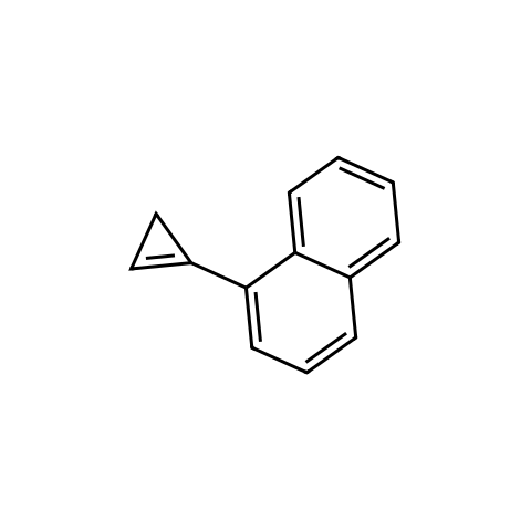 C1=C(c2cccc3ccccc23)C1